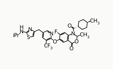 CC(C)Nc1nc(Cc2cnc(Oc3cc4c(cc3F)N(C(=O)[C@H]3CC[C@H](C)CC3)C(C)OC4=O)c(C(F)(F)F)c2)cs1